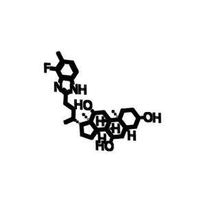 Cc1ccc2[nH]c(CCC(C)[C@H]3CC[C@H]4[C@@H]5[C@H](O)C[C@@H]6C[C@H](O)CC[C@]6(C)[C@H]5C[C@H](O)[C@]34C)nc2c1F